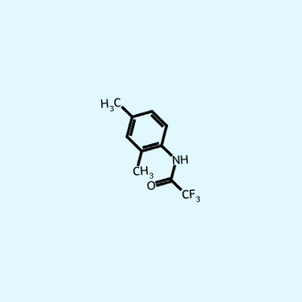 Cc1ccc(NC(=O)C(F)(F)F)c(C)c1